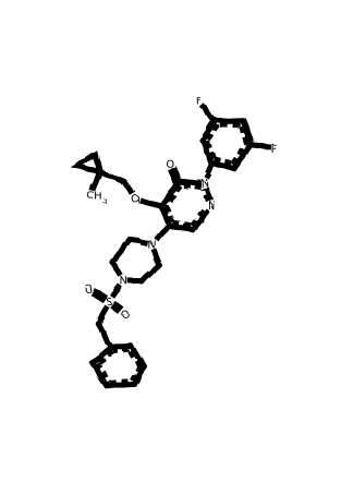 CC1(COc2c(N3CCN(S(=O)(=O)Cc4ccccc4)CC3)cnn(-c3cc(F)cc(F)c3)c2=O)CC1